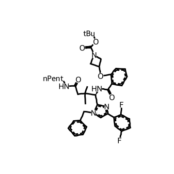 CCCCCNC(=O)CC(C)(C)[C@@H](NC(=O)c1ccccc1OC1CN(C(=O)OC(C)(C)C)C1)c1nc(-c2cc(F)ccc2F)cn1Cc1ccccc1